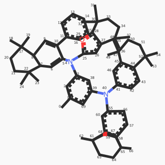 Cc1cc(N(C2=CC3C(C=C2c2ccccc2)C(C)(C)CCC3(C)C)c2cc3c(o2)C(C)(C)CCC3(C)C)cc(N(c2ccc3c(c2)C(C)(C)CCC3(C)C)c2ccc3c(c2)C2(C)CCC3(C)CC2)c1